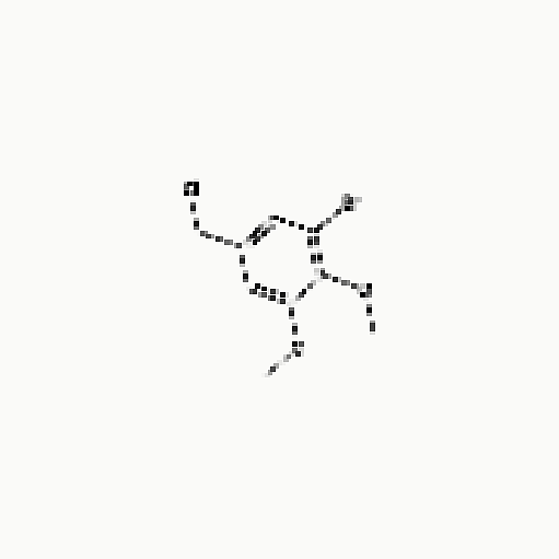 COc1cc(CCl)cc(Br)c1OC